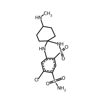 CNC1CCC2(CC1)Nc1cc(Cl)c(S(N)(=O)=O)cc1S(=O)(=O)N2